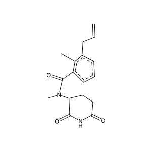 C=CCc1cccc(C(=O)N(C)C2CCC(=O)NC2=O)c1C